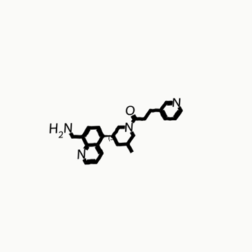 CC1C[C@@H](c2ccc(CN)c3ncccc23)CN(C(=O)CCc2cccnc2)C1